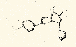 CCN(CC)c1ccc(-c2cc3c(s2)c(-c2cccs2)cc(=O)n3C)cc1